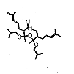 CC(C)=CCCC(CCl)C(C)(OCC(C)C)OC(C)(OCC(C)C)C(CCl)CCC=C(C)C